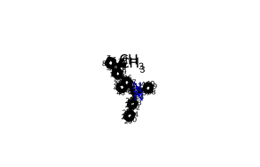 CCC1(CC)c2ccccc2-c2ccc(-c3ccc(-c4cc(-c5ccc(-c6ccccc6)cc5)nc(-c5ccccc5)n4)c4ccccc34)cc21